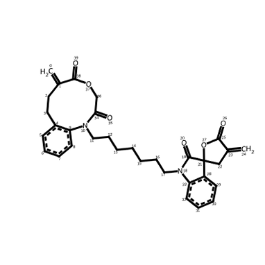 C=C1CCc2ccccc2N(CCCCCCCN2C(=O)C3(CC(=C)C(=O)O3)c3ccccc32)C(=O)COC1=O